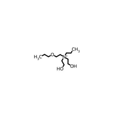 CCCOCC[N+](CCC)(CCO)CCO